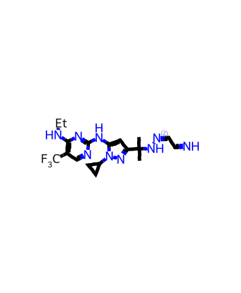 CCNc1nc(Nc2cc(C(C)(C)N/N=C\C=N)nn2C2CC2)ncc1C(F)(F)F